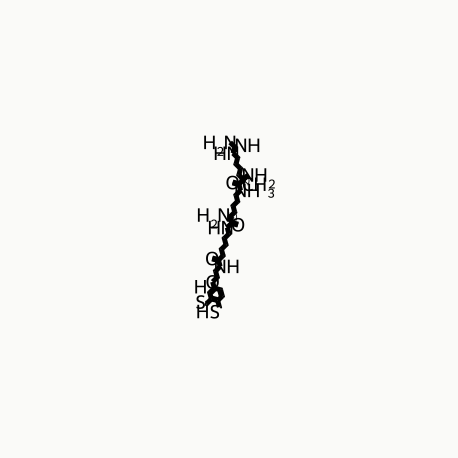 C[C@@](N)(CCCCNC(=N)N)C(=O)NCCCC[C@H](N)C(=O)NCCCCCC(=O)NCCOc1ccc(CS)c(CS)c1